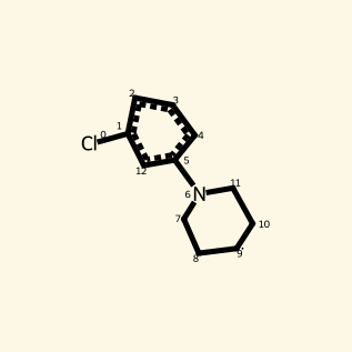 Clc1cccc(N2CC[CH]CC2)c1